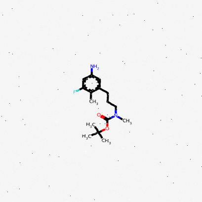 Cc1c(F)cc(N)cc1CCCN(C)C(=O)OC(C)(C)C